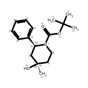 CC(C)(C)OC(=O)N1CC[C@@](C)(O)C[C@H]1c1ccccc1